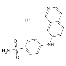 NS(=O)(=O)c1ccc(Nc2ccc3ccncc3c2)cc1.[H+]